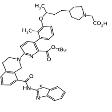 Cc1c(OC(C)CCC2CCN(CC(=O)O)CC2)cccc1-c1ccc(N2CCc3cccc(C(=O)Nc4nc5ccccc5s4)c3C2)nc1C(=O)OC(C)(C)C